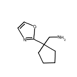 NCC1(c2ncco2)CCCC1